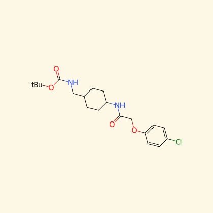 CC(C)(C)OC(=O)NCC1CCC(NC(=O)COc2ccc(Cl)cc2)CC1